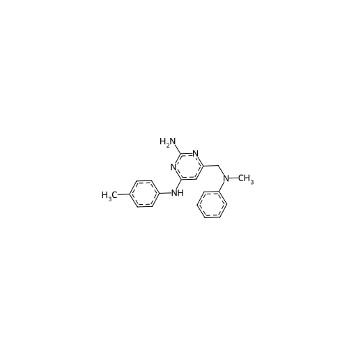 Cc1ccc(Nc2cc(CN(C)c3ccccc3)nc(N)n2)cc1